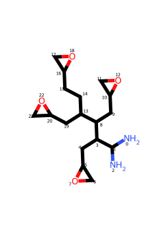 NC(N)C(CC1CO1)C(CC1CO1)C(CCC1CO1)CC1CO1